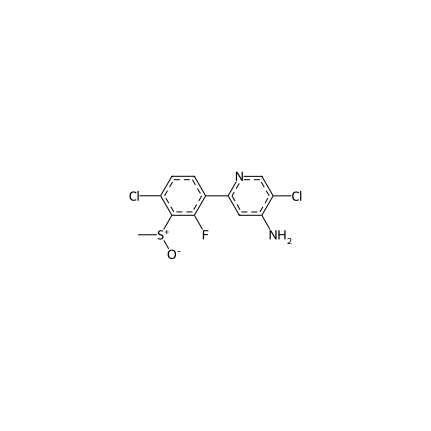 C[S+]([O-])c1c(Cl)ccc(-c2cc(N)c(Cl)cn2)c1F